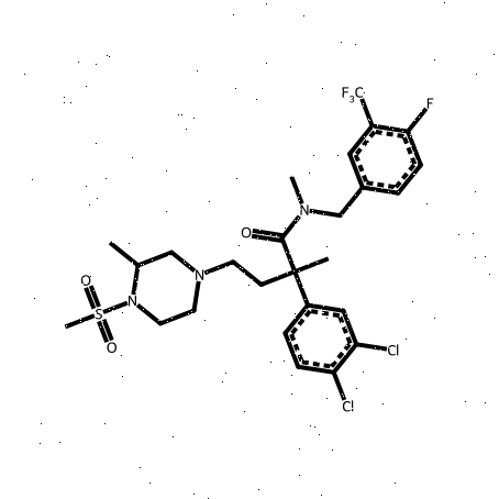 CC1CN(CCC(C)(C(=O)N(C)Cc2ccc(F)c(C(F)(F)F)c2)c2ccc(Cl)c(Cl)c2)CCN1S(C)(=O)=O